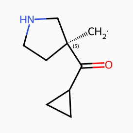 [CH2][C@]1(C(=O)C2CC2)CCNC1